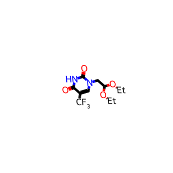 CCOC(Cn1cc(C(F)(F)F)c(=O)[nH]c1=O)OCC